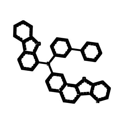 c1ccc(-c2cccc(N(c3ccc4ccc5c6ncccc6oc5c4c3)c3cccc4c3oc3ccccc34)c2)cc1